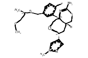 COC[C@@H](C)NCc1ccc(F)c([C@]23CO[C@@H](c4cnn(C)c4)C[C@H]2CSC(N)=N3)c1